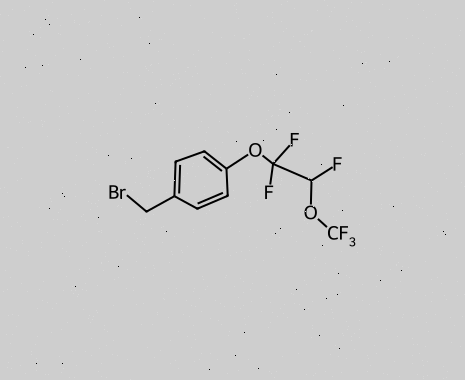 FC(OC(F)(F)F)C(F)(F)Oc1ccc(CBr)cc1